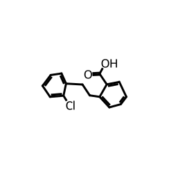 O=C(O)c1ccccc1CCc1ccccc1Cl